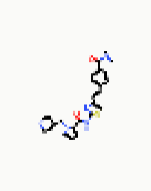 CN(C)C(=O)c1ccc(/C=C/c2csc(NC(=O)c3cccn3Cc3ccncc3)n2)cc1